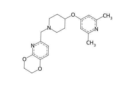 Cc1cc(OC2CCN(Cc3ccc4c(n3)OCCO4)CC2)cc(C)n1